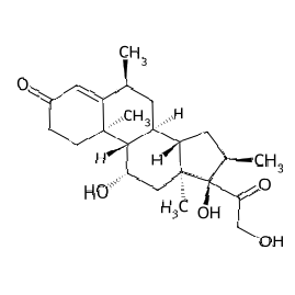 C[C@@H]1C[C@H]2[C@@H]3C[C@H](C)C4=CC(=O)CC[C@]4(C)[C@H]3[C@@H](O)C[C@]2(C)[C@@]1(O)C(=O)CO